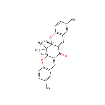 CCCc1ccc2c(c1)C=C1C(=O)C3=Cc4cc(CCC)ccc4O[C@H]3C(C)(C)[C@@H]1O2